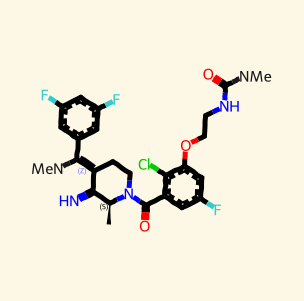 CNC(=O)NCCOc1cc(F)cc(C(=O)N2CC/C(=C(/NC)c3cc(F)cc(F)c3)C(=N)[C@@H]2C)c1Cl